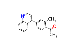 CC(=O)c1ccc(-c2ccnc3ccccc23)cc1C